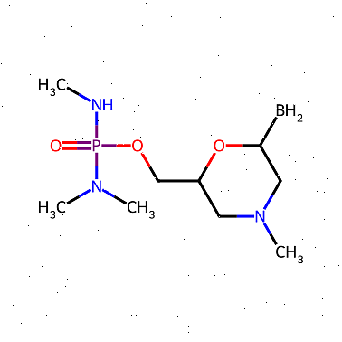 BC1CN(C)CC(COP(=O)(NC)N(C)C)O1